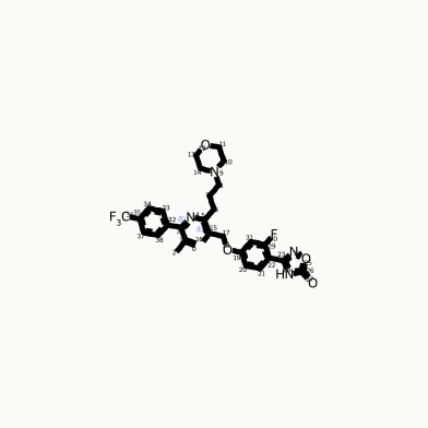 C=C(C)/C(=N\C(CCCN1CCOCC1)=C(/C)COc1ccc(-c2noc(=O)[nH]2)c(F)c1)c1ccc(C(F)(F)F)cc1